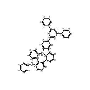 c1ccc(-c2nc(-c3ccccc3)nc(-c3ccc4c(c3)c3cccc5c6cccc7c6c6c(cccc6n4c53)n7-c3ccccc3)n2)cc1